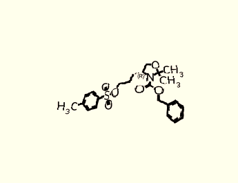 Cc1ccc(S(=O)(=O)OCCC[C@@H]2COC(C)(C)N2C(=O)OCc2ccccc2)cc1